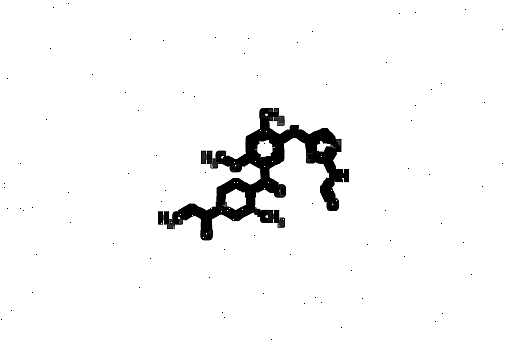 C=CC(=O)N1CCN(C(=O)c2cc(Sc3cnc(NC=O)s3)c(C)cc2OC)[C@H](C)C1